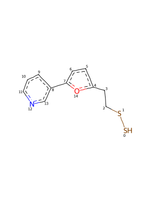 SSCCc1ccc(-c2cccnc2)o1